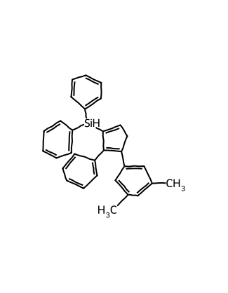 Cc1cc(C)cc(C2=C(c3ccccc3)C([SiH](c3ccccc3)c3ccccc3)=CC2)c1